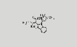 CCC(N)=C(C(C)=O)c1cc2ccccc2n1C(O)CN(C)C